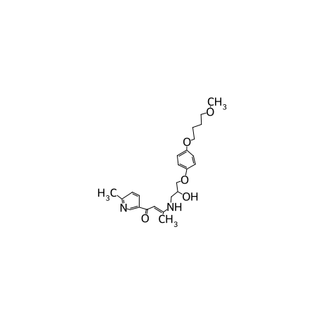 COCCCCOc1ccc(OCC(O)CNC(C)=CC(=O)c2ccc(C)nc2)cc1